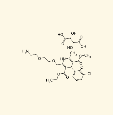 CCOC(=O)C1=C(COCCOCCN)NC(C)=C(C(=O)OC)[C@@H]1c1cccc(Cl)c1Cl.O=C(O)[C@H](O)[C@@H](O)C(=O)O